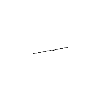 CCCCCCCCCCCCCCCCCCCCCCCCCCCCCCCCC(=O)OCCCCCCCCCCCCCCCCCCCCCC